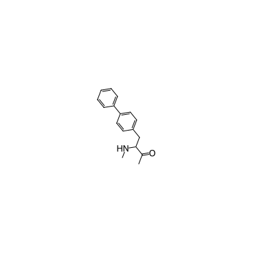 CNC(Cc1ccc(-c2ccccc2)cc1)C(C)=O